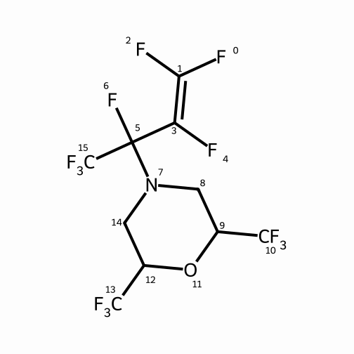 FC(F)=C(F)C(F)(N1CC(C(F)(F)F)OC(C(F)(F)F)C1)C(F)(F)F